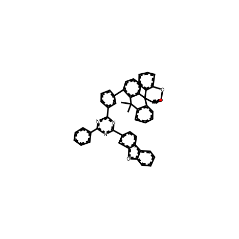 CC1(C)c2ccccc2C2(c3ccccc3Oc3ccccc32)c2cccc(-c3cccc(-c4nc(-c5ccccc5)nc(-c5ccc6c(c5)oc5ccccc56)n4)c3)c21